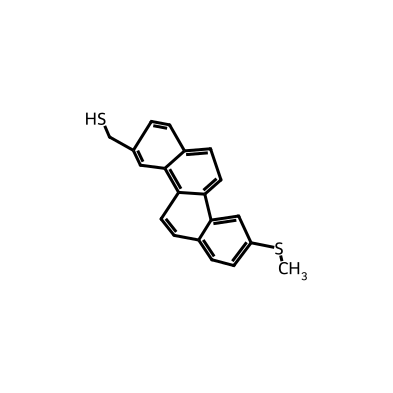 CSc1ccc2ccc3c4cc(CS)ccc4ccc3c2c1